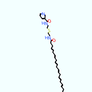 CCC=CCC=CCC=CCC=CCC=CCC=CCCC(=O)NCCSCCNC(=O)c1cccnc1